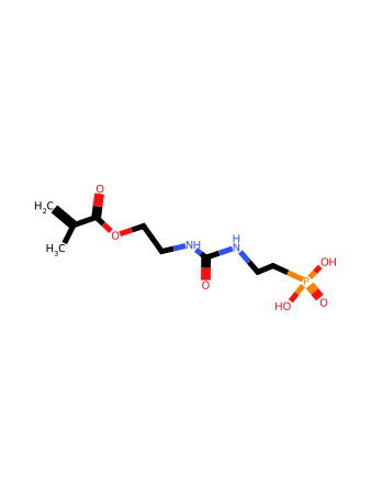 C=C(C)C(=O)OCCNC(=O)NCCP(=O)(O)O